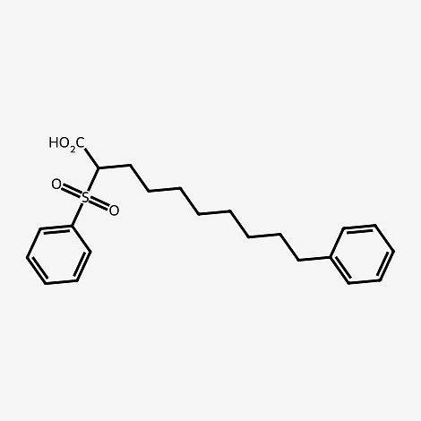 O=C(O)C(CCCCCCCCc1ccccc1)S(=O)(=O)c1ccccc1